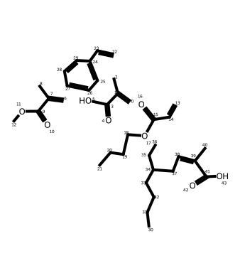 C=C(C)C(=O)O.C=C(C)C(=O)OC.C=CC(=O)OCCCC.C=Cc1ccccc1.CCCCC(CC)CC=C(C)C(=O)O